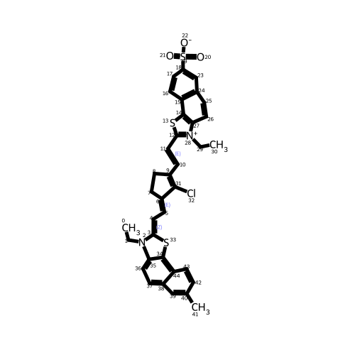 CCN1/C(=C/C=C2\CCC(/C=C/c3sc4c5ccc(S(=O)(=O)[O-])cc5ccc4[n+]3CC)=C2Cl)Sc2c1ccc1cc(C)ccc21